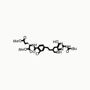 COC(=O)CC[C@H](NC(=O)c1ccc(CCC2CNc3nc(NC(=O)C(C)(C)C)nc(O)c3C2)cc1Cl)C(=O)OC